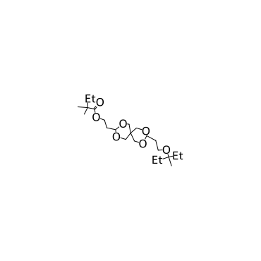 CCC(C)(CC)OCCC1OCC2(COC(CCOC(=O)C(C)(C)CC)OC2)CO1